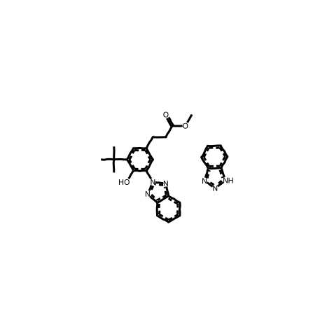 COC(=O)CCc1cc(-n2nc3ccccc3n2)c(O)c(C(C)(C)C)c1.c1ccc2[nH]nnc2c1